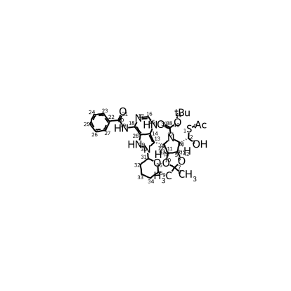 CC(=O)SC(O)[C@@H]1[C@H]2OC(C)(C)O[C@H]2[C@H](C2=C3NC=NC(NC(=O)c4ccccc4)=C3NN2C2CCCCO2)N1C(=O)OC(C)(C)C